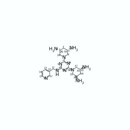 N[C@@H]1C[C@H](N)CN(c2nc(NCc3cccnc3)nc(N3C[C@H](N)C[C@H](N)C3)n2)C1